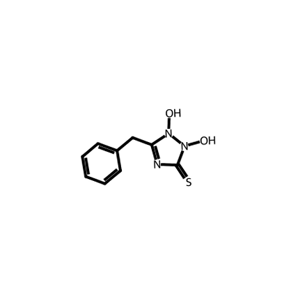 On1c(Cc2ccccc2)nc(=S)n1O